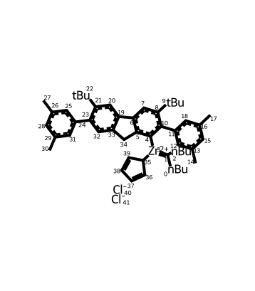 CCCC[C](CCCC)=[Zr+2]([c]1c2c(cc(C(C)(C)C)c1-c1cc(C)cc(C)c1)-c1cc(C(C)(C)C)c(-c3cc(C)cc(C)c3)cc1C2)[CH]1C=CC=C1.[Cl-].[Cl-]